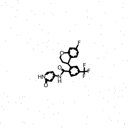 O=C(Nc1cc[nH]c(=O)c1)c1ccc(C(F)(F)F)cc1C1CCOc2cc(F)ccc21